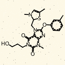 CC1=CN(C)C(Cn2c(Oc3cccc(C)c3)nc3c2c(=O)n(CCCO)c(=O)n3C)S1